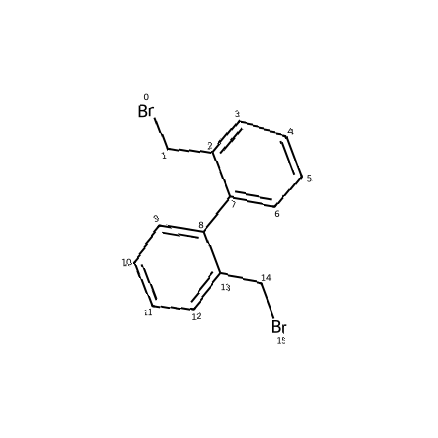 BrCc1ccccc1-c1ccccc1CBr